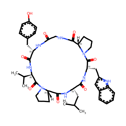 CC(C)C[C@@H]1NC(=O)[C@@H]2CCCN2C(=O)[C@@H](C(C)C)NC(=O)[C@H](Cc2ccc(O)cc2)NC(=O)CNC(=O)[C@@H]2CCCN2C(=O)[C@H](Cc2cc3ccccc3[nH]2)NC1=O